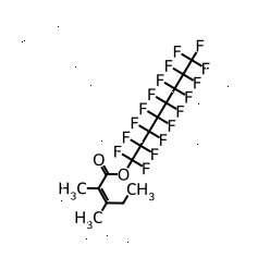 CCC(C)=C(C)C(=O)OC(F)(F)C(F)(F)C(F)(F)C(F)(F)C(F)(F)C(F)(F)C(F)(F)C(F)(F)F